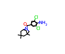 CC1(C)CC2CC(C)(CN2C(=O)c2cc(Cl)c(N)c(Cl)c2)C1